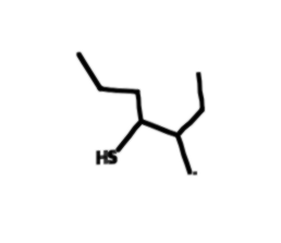 [CH2]C(CC)C(S)CCC